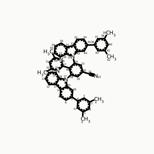 Cc1cc(C)cc(-c2ccc3c4ccccc4n(-c4cc(C#N)cc(-n5c6ccccc6c6ccc(-c7cc(C)cc(C)c7)cc65)c4-c4nc(C)cc(C)n4)c3c2)c1